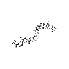 Cc1cccc(C)c1Nc1nn(C)c2nc(Nc3ccc4c(c3)CN(CC3CCN(CC(=O)Nc5ccc6c(c5)C(=O)N(C5CCC(=O)NC5=O)C6=O)CC3)CC4)ncc12